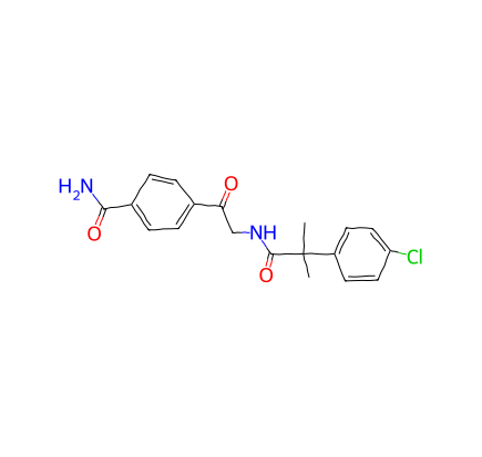 CC(C)(C(=O)NCC(=O)c1ccc(C(N)=O)cc1)c1ccc(Cl)cc1